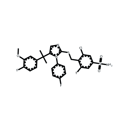 COc1cc(C(C)(C)c2cnc(SCc3c(F)cc(S(N)(=O)=O)cc3Cl)n2-c2ccc(F)cc2)ccc1F